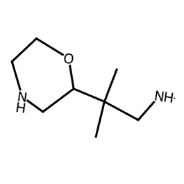 CC(C)(C[NH])C1CNCCO1